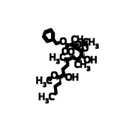 CCCC[C@H](OC)[C@H](O)CC[C@H](C)[C@@H]1O[C@](O)([C@H](C)C(=O)OCc2ccccc2)[C@H](OC)[C@@H](O)[C@@H]1C